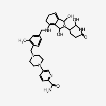 Cc1cc(CNC2=C3C(=CCC2)C(O)N(C2CCC(=O)NC2O)C3O)ccc1CN1CCN(c2ccc(C(N)=O)nc2)CC1